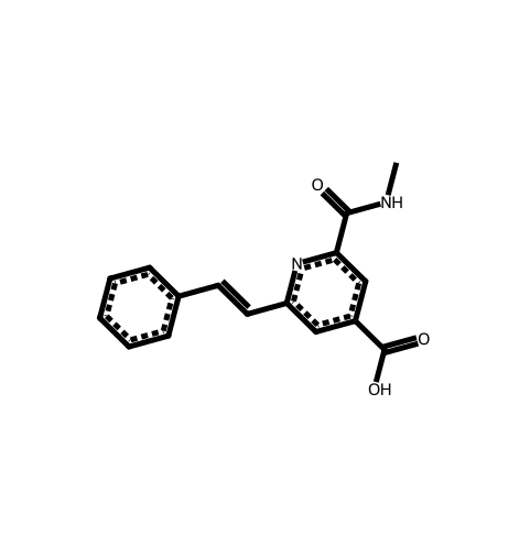 CNC(=O)c1cc(C(=O)O)cc(C=Cc2ccccc2)n1